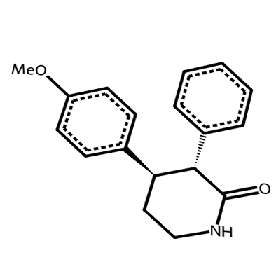 COc1ccc([C@@H]2CCNC(=O)[C@H]2c2ccccc2)cc1